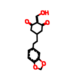 O=C1CC(CCc2ccc3c(c2)OCO3)CC(=O)C1=CO